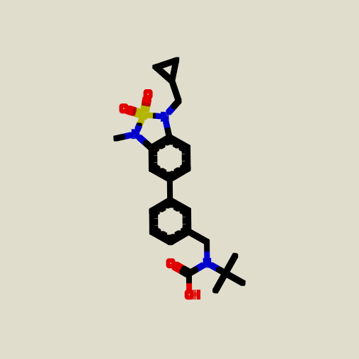 CN1c2cc(-c3cccc(CN(C(=O)O)C(C)(C)C)c3)ccc2N(CC2CC2)S1(=O)=O